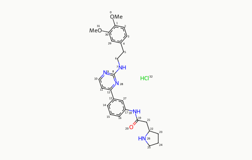 COc1ccc(CCNc2nccc(-c3cccc(NC(=O)CC4CCCN4)c3)n2)cc1OC.Cl